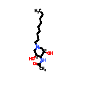 CCCCCCCCCN1C[C@@H](O)C(NC(C)=O)[C@@H](O)C1